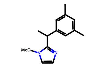 COn1ccnc1C(C)c1cc(C)cc(C)c1